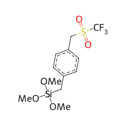 CO[Si](Cc1ccc(CS(=O)(=O)C(F)(F)F)cc1)(OC)OC